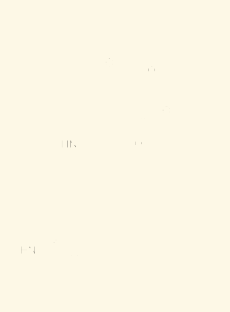 CCOC(=O)C(/C=C/Nc1ccc(C(=O)NC)cc1)C(=O)OCC